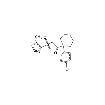 Cn1ccnc1S(=O)(=O)CC(=O)C1(c2ccc(Cl)cc2)CCCCC1